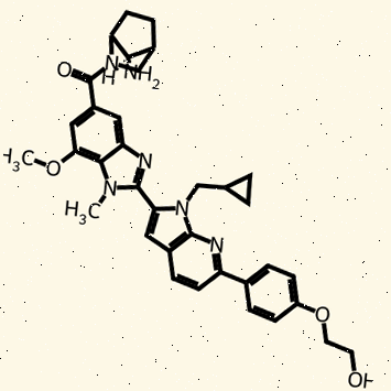 COc1cc(C(=O)N2CC3CCC2[C@@H]3N)cc2nc(-c3cc4ccc(-c5ccc(OCCO)cc5)nc4n3CC3CC3)n(C)c12